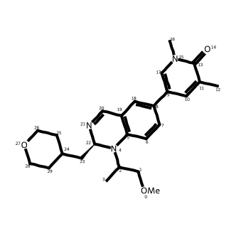 COCC(C)N1c2ccc(-c3cc(C)c(=O)n(C)c3)cc2C=N[C@@H]1CC1CCOCC1